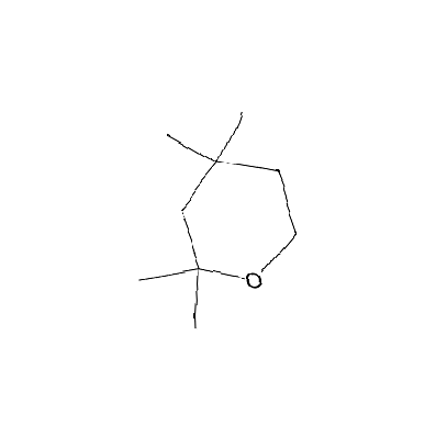 CC1(C)CCOC(C)(C)C1